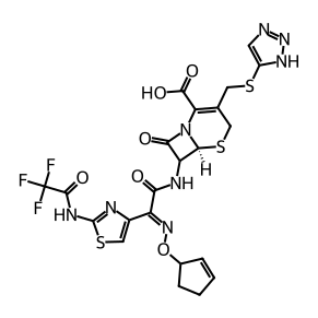 O=C(O)C1=C(CSc2cnn[nH]2)CS[C@H]2C(NC(=O)C(=NOC3C=CCC3)c3csc(NC(=O)C(F)(F)F)n3)C(=O)N12